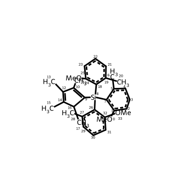 COc1cccc(C)c1[Si](C1=C(C)C(C)=C(C)C1C)(c1c(C)cccc1OC)c1c(C)cccc1OC